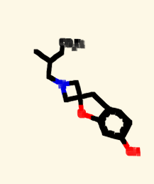 CCOC(=O)CC(C)CN1CC2(Cc3ccc(O)cc3O2)C1